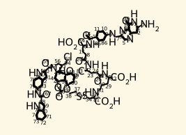 Nc1cc2ncc(CNc3ccc(C(=O)NC(CCC(=O)NC(CCC(=O)NC(CCCNC(CSSCCOC(=O)Oc4cc5c(c6ccccc46)C(CCl)CN5C(=O)c4cc5cc(NC(=O)c6cc7ccccc7[nH]6)ccc5[nH]4)C(=O)O)C(=O)O)C(=O)O)C(=O)O)cc3)nc2c(=O)[nH]1